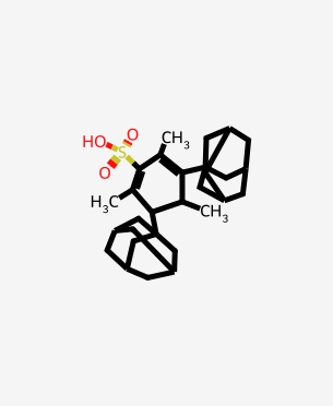 CC1=C(C23CC4CC(CC(C4)C2)C3)C(C)C(C23CC4CC(CC(C4)C2)C3)C(C)=C1S(=O)(=O)O